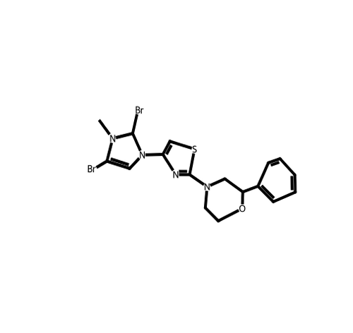 CN1C(Br)=CN(c2csc(N3CCOC(c4ccccc4)C3)n2)C1Br